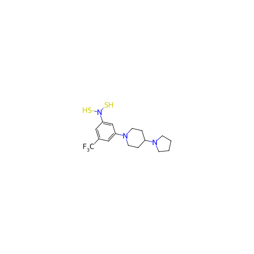 FC(F)(F)c1cc(N(S)S)cc(N2CCC(N3CCCC3)CC2)c1